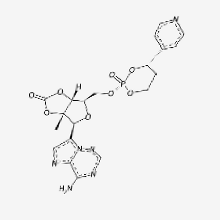 C[C@@]12OC(=O)O[C@@H]1[C@@H](CO[P@@]1(=O)OCC[C@@H](c3ccncc3)O1)O[C@H]2c1cnc2c(N)ncnn12